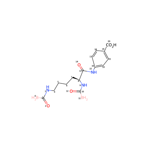 BC(=O)NCCCC[C@H](NC(B)=O)C(=O)Nc1ccc(C(=O)O)cc1